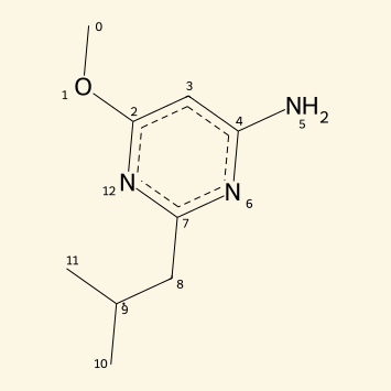 COc1cc(N)nc(C[C](C)C)n1